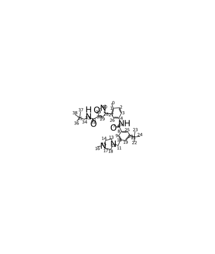 Cc1ccc(NC(=O)c2cc(CN3CCN(C)CC3)cc(C(C)(C)C)c2)cc1-c1cc(C(=O)NCC(C)(C)C)on1